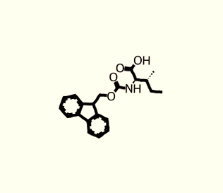 CC[C@@H](C)[C@H](NC(=O)OCC1c2ccccc2-c2ccccc21)C(=O)O